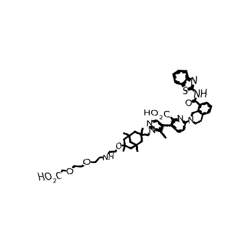 Cc1c(-c2ccc(N3CCc4cccc(C(=O)Nc5nc6ccccc6s5)c4C3)nc2C(=O)O)cnn1CC1(C)CC2(C)CC(C)(C1)CC(C)(OCCNCCOCCOCC(=O)O)C2